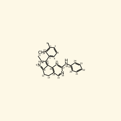 Cc1cccc(-c2c3c(nn2C)CCc2cnc(Nc4ccccc4)nc2-3)c1Cl